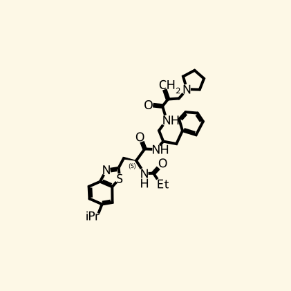 C=C(CN1CCCC1)C(=O)NCC(Cc1ccccc1)NC(=O)[C@H](Cc1nc2ccc(C(C)C)cc2s1)NC(=O)CC